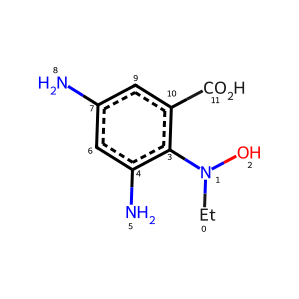 CCN(O)c1c(N)cc(N)cc1C(=O)O